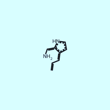 C=C/C=c1/cc[nH]/c1=C/N